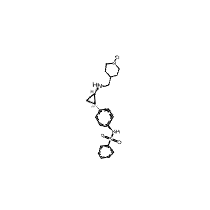 O=S(=O)(Nc1ccc([C@@H]2C[C@H]2NCC2CCN(Cl)CC2)cc1)c1ccccc1